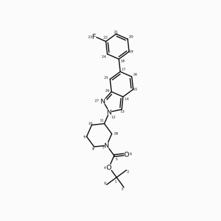 CC(C)(C)OC(=O)N1CCCC(n2cc3ccc(-c4cccc(F)c4)cc3n2)C1